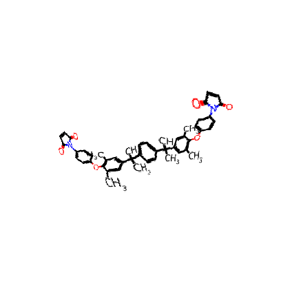 Cc1cc(C(C)(C)c2ccc(C(C)(C)c3cc(C)c(Oc4ccc(N5C(=O)C=CC5=O)cc4)c(C)c3)cc2)cc(C)c1Oc1ccc(N2C(=O)C=CC2=O)cc1